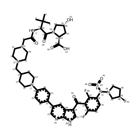 CC(C)(C)[C@H](NC(=O)CN1CCN(CC2CCN(c3ccc(-c4cnc5[nH]cc(C(=O)c6c(F)ccc(N(N7CC[C@@H](F)C7)[SH](=O)=O)c6F)c5c4)cc3)CC2)CC1)C(=O)N1C[C@H](O)C[C@H]1C(=O)O